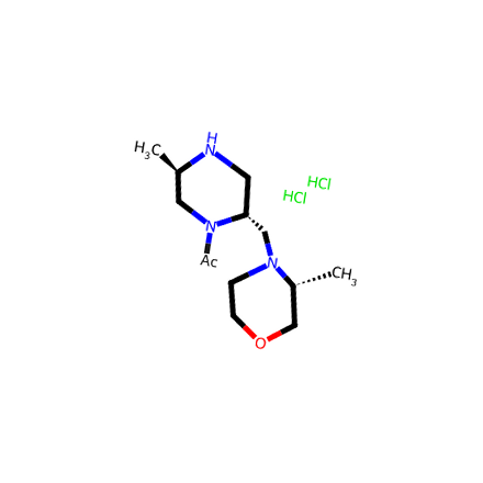 CC(=O)N1C[C@@H](C)NC[C@@H]1CN1CCOC[C@H]1C.Cl.Cl